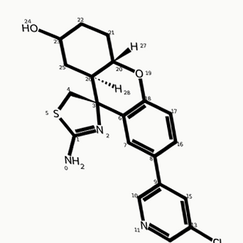 NC1=N[C@@]2(CS1)c1cc(-c3cncc(Cl)c3)ccc1O[C@H]1CCC(O)C[C@@H]12